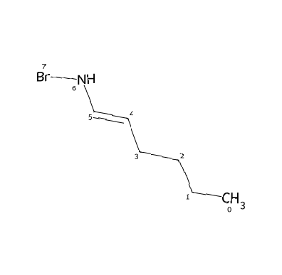 CCCCC=CNBr